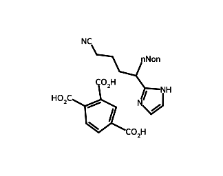 CCCCCCCCCC(CCCC#N)c1ncc[nH]1.O=C(O)c1ccc(C(=O)O)c(C(=O)O)c1